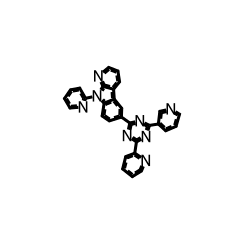 c1ccc(-c2nc(-c3cccnc3)nc(-c3ccc4c(c3)c3cccnc3n4-c3ccccn3)n2)nc1